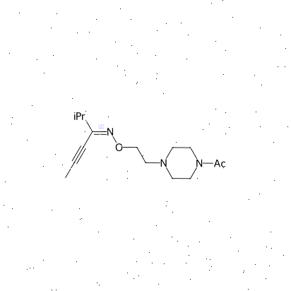 CC#C/C(=N\OCCN1CCN(C(C)=O)CC1)C(C)C